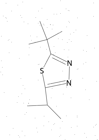 CC(C)c1nnc(C(C)(C)C)s1